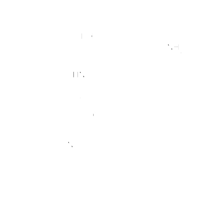 Cc1cc(N)ccc1NC(=O)Cc1ccccn1